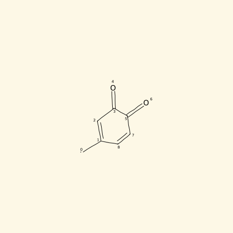 [CH2]C1=CC(=O)C(=O)C=C1